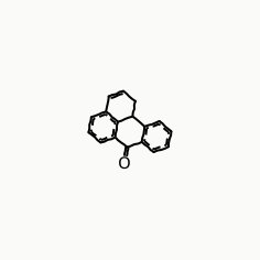 O=C1c2ccccc2C2CC=Cc3cccc1c32